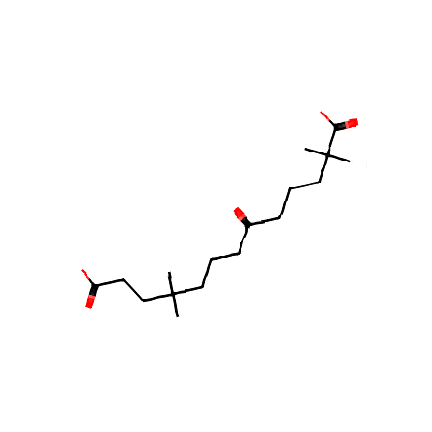 CC(C)(CCCC(=O)CCCC(C)(C)C(=O)O)CCC(=O)O